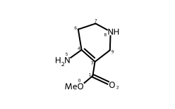 COC(=O)C1=C(N)CCNC1